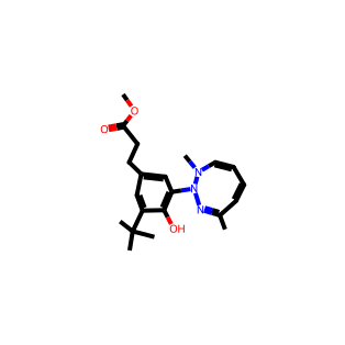 COC(=O)CCc1cc(-n2nc(C)ccccn2C)c(O)c(C(C)(C)C)c1